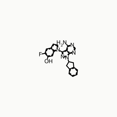 Nc1ncnc2c1c(-n1ccc3cc(F)c(O)cc31)nn2C1Cc2ccccc2C1